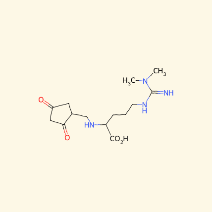 CN(C)C(=N)NCCCC(NCC1CC(=O)CC1=O)C(=O)O